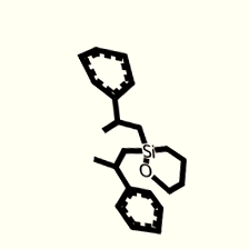 CC(C[Si]1(CC(C)c2ccccc2)CCCCO1)c1ccccc1